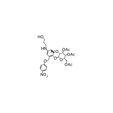 CC(=O)OC[C@H]1O[C@@H](Oc2ccc(NCCCO)cc2COc2ccc([N+](=O)[O-])cc2)[C@H](OC(C)=O)[C@@H](OC(C)=O)[C@H]1OC(C)=O